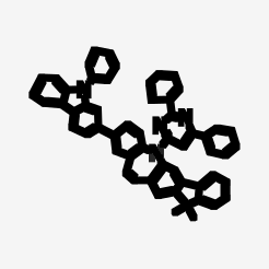 CC1(C)c2ccccc2-c2cc3c(cc21)C=Cc1cc(-c2ccc4c5ccccc5n(-c5ccccc5)c4c2)ccc1N3c1cc(-c2ccccc2)nc(-c2ccccc2)n1